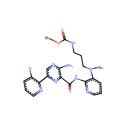 CCCCN(CCCNC(=O)OC(C)(C)C)c1cccnc1NC(=O)c1nc(-c2ncccc2Cl)cnc1N